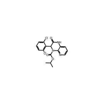 CC(C)OC(=O)N1c2ncccc2NC(=O)C1c1c(Cl)cccc1Cl